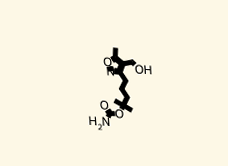 Cc1onc(CCCC(C)(C)OC(N)=O)c1CO